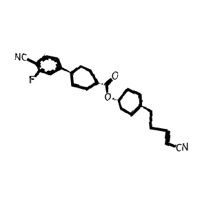 N#CC=CCC[C@H]1CC[C@H](OC(=O)[C@H]2CC[C@H](c3ccc(C#N)c(F)c3)CC2)CC1